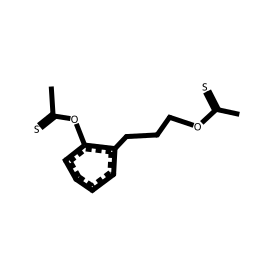 CC(=S)OCCCc1ccccc1OC(C)=S